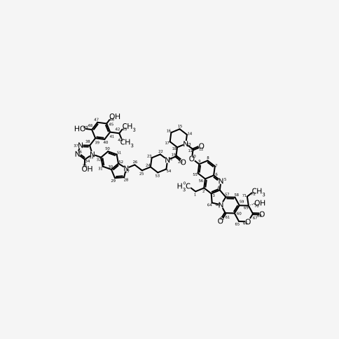 CCc1c2c(nc3ccc(OC(=O)N4CCCCC4C(=O)N4CCC(CCn5ccc6cc(-n7c(O)nnc7-c7cc(C(C)C)c(O)cc7O)ccc65)CC4)cc13)-c1cc3c(c(=O)n1C2)COC(=O)[C@]3(O)CC